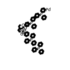 C=Cc1ccn(S(=O)(=O)c2ccccc2)c1C(=O)O.[Pd].c1ccc(P(c2ccccc2)c2ccccc2)cc1.c1ccc(P(c2ccccc2)c2ccccc2)cc1.c1ccc(P(c2ccccc2)c2ccccc2)cc1.c1ccc(P(c2ccccc2)c2ccccc2)cc1